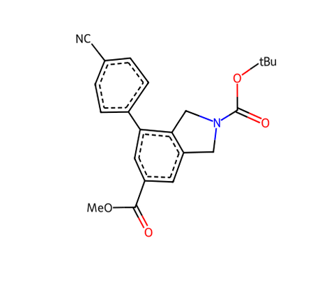 COC(=O)c1cc2c(c(-c3ccc(C#N)cc3)c1)CN(C(=O)OC(C)(C)C)C2